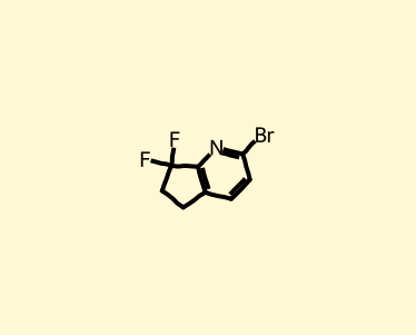 FC1(F)CCc2ccc(Br)nc21